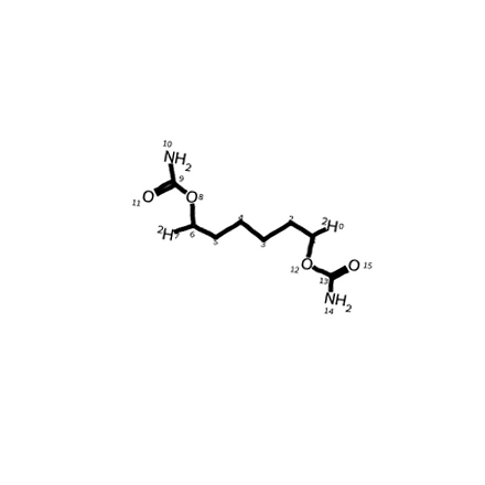 [2H]C(CCCCC([2H])OC(N)=O)OC(N)=O